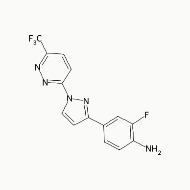 Nc1ccc(-c2ccn(-c3ccc(C(F)(F)F)nn3)n2)cc1F